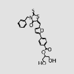 O=C(OC(CO)CO)c1ccc(-c2ccc(/C=C3/SC(=S)N(Cc4ccccc4)C3=O)o2)cc1